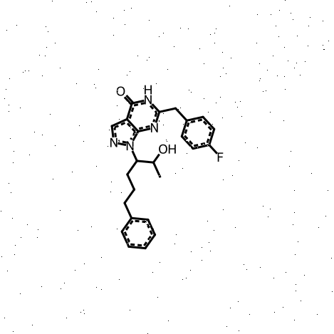 CC(O)C(CCCc1ccccc1)n1ncc2c(=O)[nH]c(Cc3ccc(F)cc3)nc21